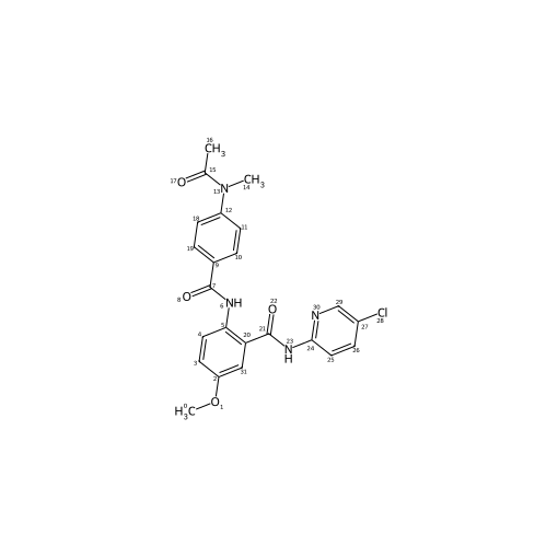 COc1ccc(NC(=O)c2ccc(N(C)C(C)=O)cc2)c(C(=O)Nc2ccc(Cl)cn2)c1